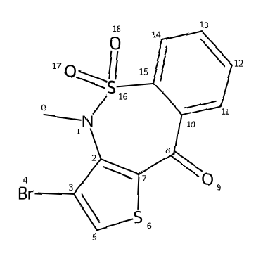 CN1c2c(Br)csc2C(=O)c2ccccc2S1(=O)=O